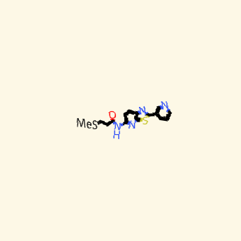 CSCCC(=O)Nc1ccc2nc(-c3cccnc3)sc2n1